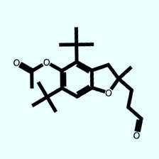 CC(=O)Oc1c(C(C)(C)C)cc2c(c1C(C)(C)C)CC(C)(CCC=O)O2